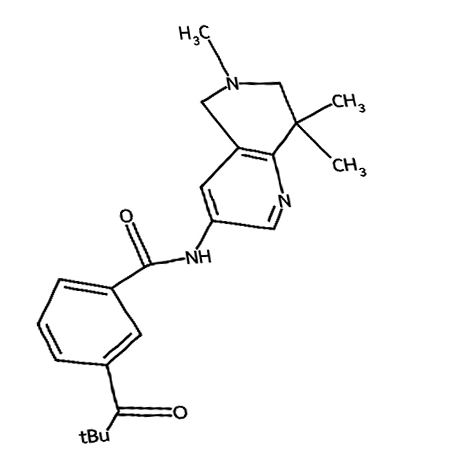 CN1Cc2cc(NC(=O)c3cccc(C(=O)C(C)(C)C)c3)cnc2C(C)(C)C1